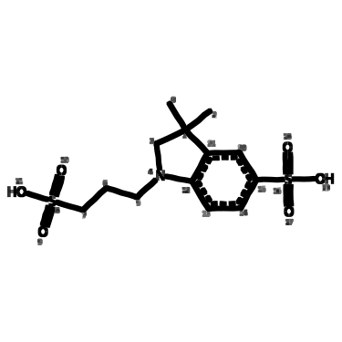 CC1(C)CN(CCCS(=O)(=O)O)c2ccc(S(=O)(=O)O)cc21